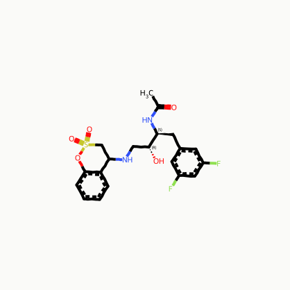 CC(=O)N[C@@H](Cc1cc(F)cc(F)c1)[C@H](O)CNC1CS(=O)(=O)Oc2ccccc21